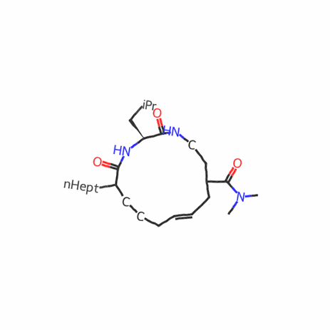 CCCCCCCC1CCC/C=C/CC(C(=O)N(C)C)CCNC(=O)[C@H](CC(C)C)NC1=O